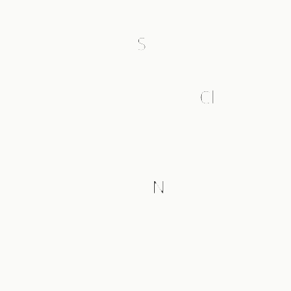 Clc1sccc1-c1ccccn1